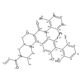 C=CC(=O)N1CC2COc3c(c4cc(Cl)c(-c5c(O)cccc5F)c(F)c4n(-c4c(C(C)C)ncnc4C(C)C)c3=O)N2CC1C